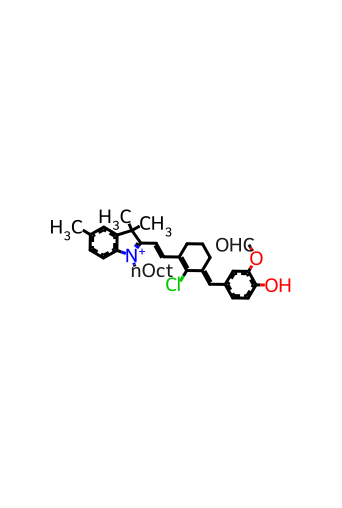 CCCCCCCC[N+]1=C(/C=C/C2=C(Cl)C(=C/c3ccc(O)c(OC=O)c3)/CCC2)C(C)(C)c2cc(C)ccc21